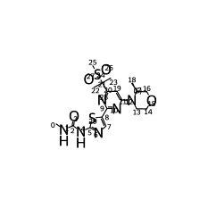 CNC(=O)Nc1ncc(-c2nc(N3CCOC[C@@H]3C)cc(C(C)(C)S(C)(=O)=O)n2)s1